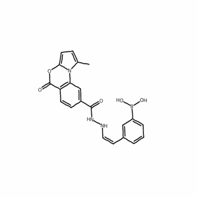 Cc1ccc2oc(=O)c3ccc(C(=O)NN/C=C\c4cccc(B(O)O)c4)cc3n12